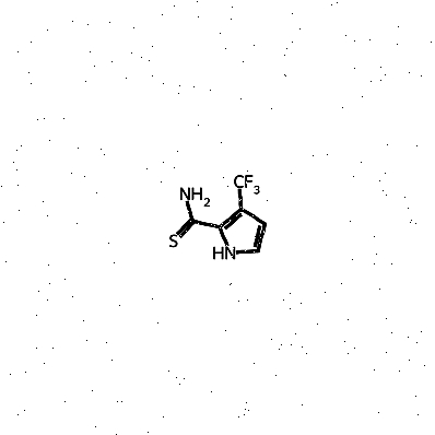 NC(=S)c1[nH]ccc1C(F)(F)F